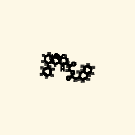 O=C(O)CC(NC(=O)CN1C(=O)CCCC1c1ccccc1)C(=O)COC(=O)Cc1ccc2ccccc2c1